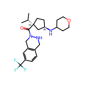 CC(C)[C@]1(C(=O)N2Cc3cc(C(F)(F)F)ccc3CN2)CC[C@@H](NC2CCOCC2)C1